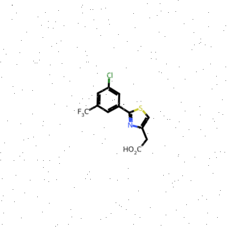 O=C(O)Cc1csc(-c2cc(Cl)cc(C(F)(F)F)c2)n1